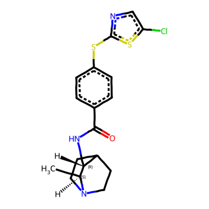 C[C@H]1[C@H](NC(=O)c2ccc(Sc3ncc(Cl)s3)cc2)C2CCN1CC2